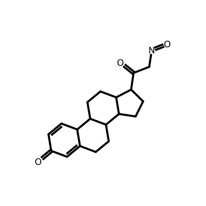 O=NCC(=O)C1CCC2C1CCC1C3C=CC(=O)C=C3CCC12